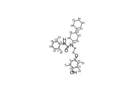 Cc1cc(OCCN(C(=O)Nc2c(C)cccc2C)C2CCC(C3CCCCC3)CC2)c(C)c(C)c1O